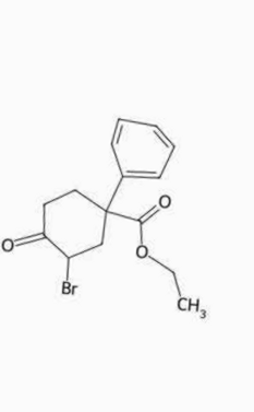 CCOC(=O)C1(c2ccccc2)CCC(=O)C(Br)C1